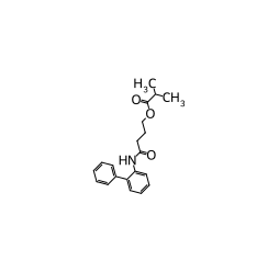 CC(C)C(=O)OCCCC(=O)Nc1ccccc1-c1ccccc1